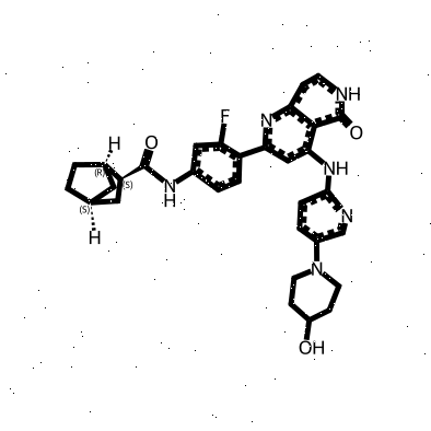 O=C(Nc1ccc(-c2cc(Nc3ccc(N4CCC(O)CC4)cn3)c3c(=O)[nH]ccc3n2)c(F)c1)[C@H]1C[C@H]2CC[C@@H]1C2